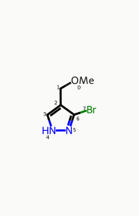 COCc1c[nH]nc1Br